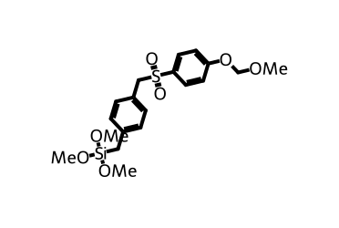 COCOc1ccc(S(=O)(=O)Cc2ccc(C[Si](OC)(OC)OC)cc2)cc1